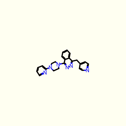 c1ccc(N2CCN(c3nnc(Cc4ccncc4)c4ccccc34)CC2)nc1